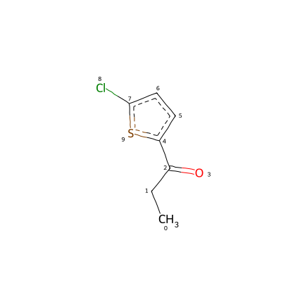 CCC(=O)c1ccc(Cl)s1